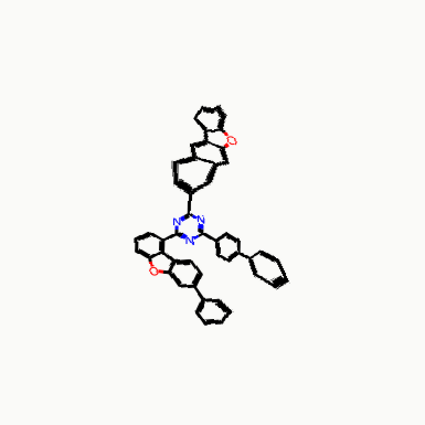 c1ccc(-c2ccc(-c3nc(-c4ccc5cc6c(cc5c4)oc4ccccc46)nc(-c4cccc5oc6cc(-c7ccccc7)ccc6c45)n3)cc2)cc1